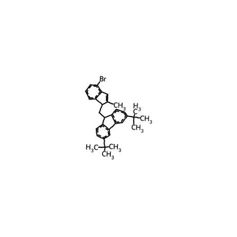 CC1=Cc2c(Br)cccc2C1CC1c2ccc(C(C)(C)C)cc2-c2cc(C(C)(C)C)ccc21